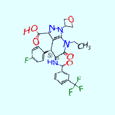 CCN1C(=O)[C@@H](NC(=O)c2cccc(C(F)(F)F)c2)[C@@H](c2ccc(F)cc2)c2c(C(=O)O)nn(C3COC3)c21